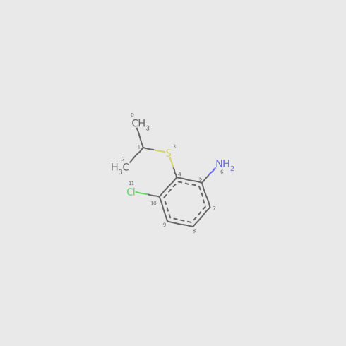 CC(C)Sc1c(N)cccc1Cl